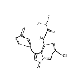 O=C(Nc1cc(Cl)cc2[nH]cc(-c3cn[nH]c3)c12)C(F)F